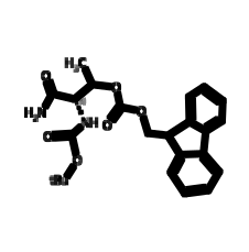 CC(OC(=O)OCC1c2ccccc2-c2ccccc21)[C@H](NC(=O)OC(C)(C)C)C(N)=O